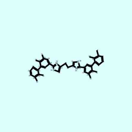 Cc1cccc(-c2cc(-c3nc(CCc4csc(-c5cc(C)c(C)c(-c6cccc(C)c6C)c5)n4)cs3)cc(C)c2C)c1C